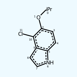 CC(C)Oc1ccc2[nH]ccc2c1Cl